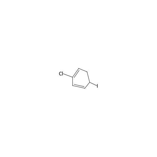 ClC1=CCC(I)C=C1